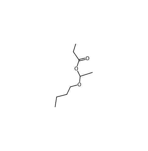 CCCCOC(C)OC(=O)CC